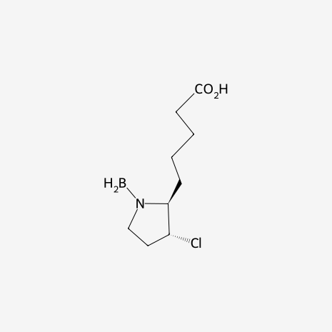 BN1CC[C@@H](Cl)[C@@H]1CCCCC(=O)O